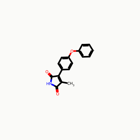 CC1=C(c2ccc(Oc3cc[c]cc3)cc2)C(=O)NC1=O